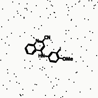 COc1ccc(Nc2cc(C#N)nc3ccccc23)cc1I